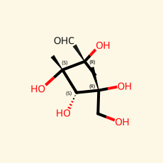 C[C@](O)(C=O)[C@@](C)(O)[C@@H](O)[C@](C)(O)CO